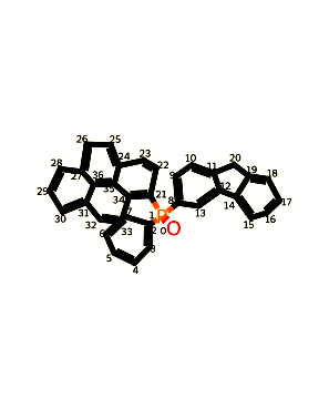 O=P(c1ccccc1)(c1ccc2c(c1)-c1ccccc1C2)c1ccc2ccc3cccc4ccc1c2c34